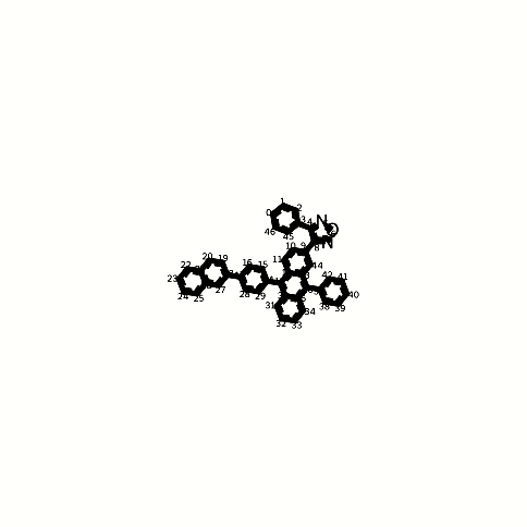 c1ccc(-c2nonc2-c2ccc3c(-c4ccc(-c5ccc6ccccc6c5)cc4)c4ccccc4c(-c4ccccc4)c3c2)cc1